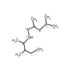 CCC(C)C(C)N[N]C(C)CC(C)C